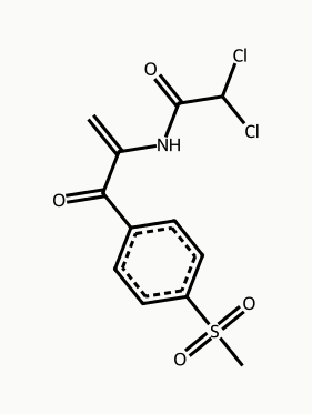 C=C(NC(=O)C(Cl)Cl)C(=O)c1ccc(S(C)(=O)=O)cc1